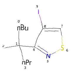 CCCCC(C)(CCC)c1nscc1I